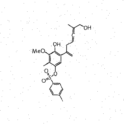 C=C(CC=C=C(C)CO)c1cc(OS(=O)(=O)c2ccc(C)cc2)c(C)c(OC)c1O